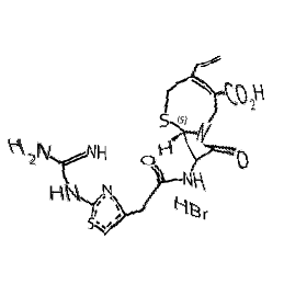 Br.C=CC1=C(C(=O)O)N2C(=O)C(NC(=O)Cc3csc(NC(=N)N)n3)[C@@H]2SC1